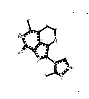 Cc1n[nH]cc1-c1sc2c(=O)[nH]c(C)c3c2c1OCC3